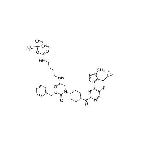 Cn1ncc(-c2nc(NC3CCC(N(CC(=O)NCCCCNC(=O)OC(C)(C)C)C(=O)OCc4ccccc4)CC3)ncc2F)c1CC1CC1